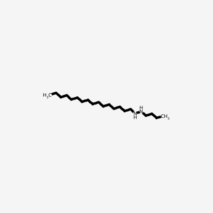 CCCCCCCCCCCCCCCCNNCCCC